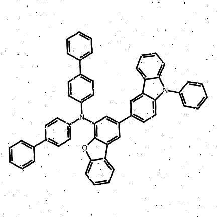 c1ccc(-c2ccc(N(c3ccc(-c4ccccc4)cc3)c3cc(-c4ccc5c(c4)c4ccccc4n5-c4ccccc4)cc4c3oc3ccccc34)cc2)cc1